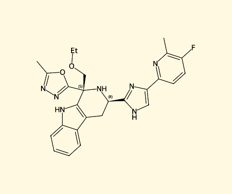 CCOC[C@@]1(c2nnc(C)o2)N[C@@H](c2nc(-c3ccc(F)c(C)n3)c[nH]2)Cc2c1[nH]c1ccccc21